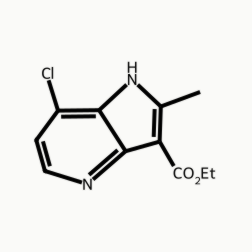 CCOC(=O)c1c(C)[nH]c2c(Cl)ccnc12